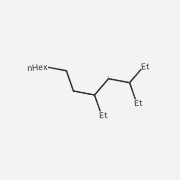 CCCCCCCCC([CH]C(CC)CC)CC